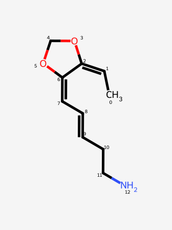 C/C=C1/OCO/C1=C/C=C/CCN